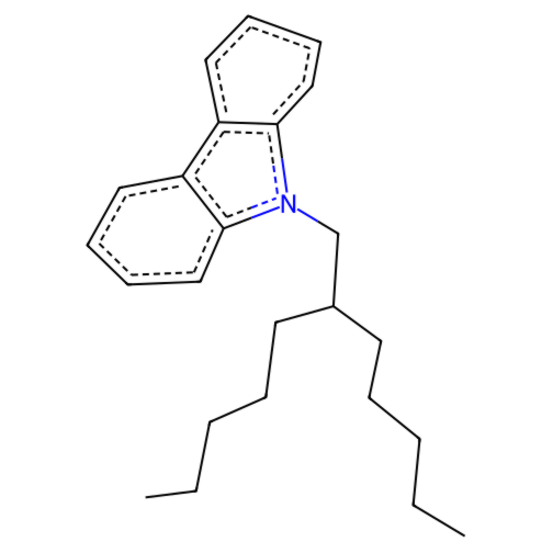 CCCCCC(CCCCC)Cn1c2ccccc2c2ccccc21